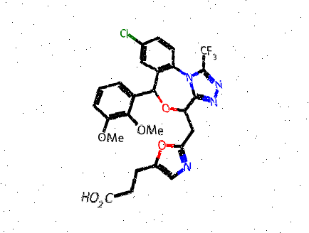 COc1cccc(C2OC(Cc3ncc(CCC(=O)O)o3)c3nnc(C(F)(F)F)n3-c3ccc(Cl)cc32)c1OC